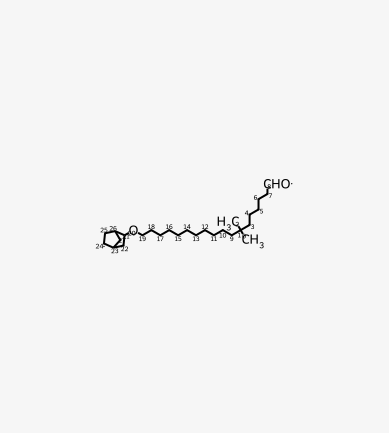 CC(C)(CCCCC[C]=O)CCCCCCCCCCCOC1CC2[CH]CC1C2